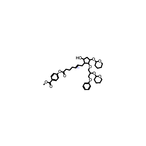 COC(=O)c1ccc(OC(=O)CCC/C=C/CC2C(O)CC(OC3CCCCO3)C2OCC(COc2ccccc2)OC2CCCCO2)cc1